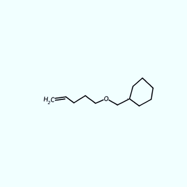 C=CCCCOC[C]1CCCCC1